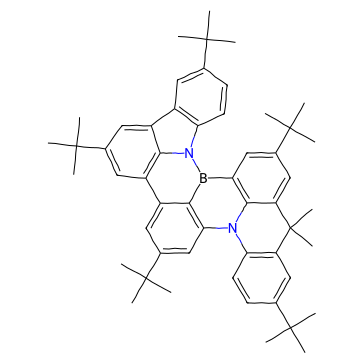 CC(C)(C)c1cc2c3c(c1)N1c4ccc(C(C)(C)C)cc4C(C)(C)c4cc(C(C)(C)C)cc(c41)B3n1c3ccc(C(C)(C)C)cc3c3cc(C(C)(C)C)cc-2c31